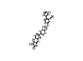 N#Cc1cc(CNCC2CCN(c3nccc(C=C4SC(=O)NC4=O)n3)CC2)cnc1-c1cn[nH]c1